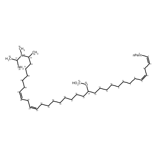 CCCCC/C=C\C/C=C\CCCCCCCCC(CCCCCCCC/C=C\C/C=C\CCCCCC(C)N(C)C(C)N)OC(=O)O